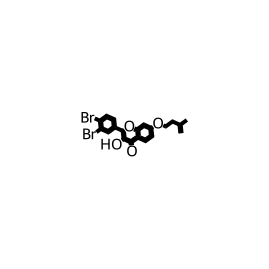 C=C(C)CCOc1ccc2c(=O)c(O)c(-c3ccc(Br)c(Br)c3)oc2c1